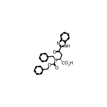 O=C(C[C@H](C(=O)O)N(Cc1ccccc1)C(=O)OCc1ccccc1)c1nc2ccccc2[nH]1